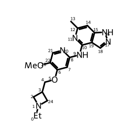 CCN1CC(COc2cc(Nc3nc(C)cc4[nH]ncc34)ncc2OC)C1